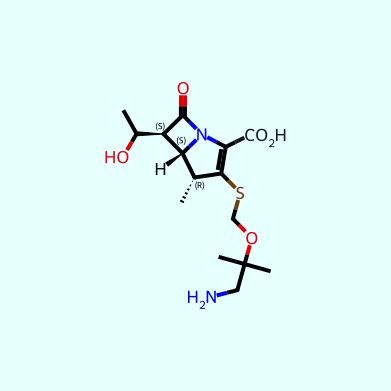 CC(O)[C@H]1C(=O)N2C(C(=O)O)=C(SCOC(C)(C)CN)[C@H](C)[C@H]12